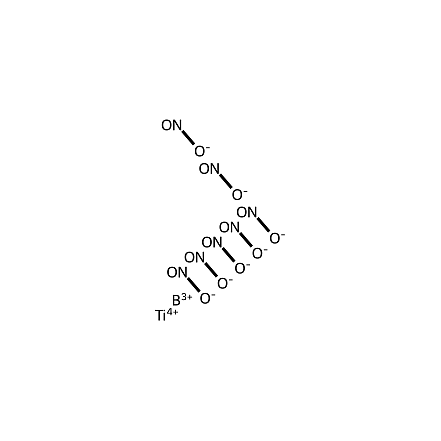 O=N[O-].O=N[O-].O=N[O-].O=N[O-].O=N[O-].O=N[O-].O=N[O-].[B+3].[Ti+4]